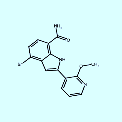 COc1ncccc1-c1cc2c(Br)ccc(C(N)=O)c2[nH]1